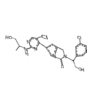 CC(CO)Nc1ncc(Cl)c(-c2cc3n(c2)C(=O)N(C(CO)c2cccc(Cl)c2)C3)n1